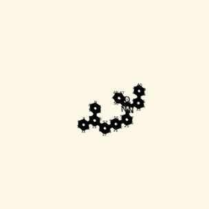 c1ccc(-c2cc(-c3ccccc3)cc(-c3cccc(-c4ccc(-c5cccc(-c6nc(-c7cccc(-c8ccccc8)c7)c7oc8ccccc8c7n6)c5)cc4)c3)c2)cc1